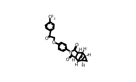 O=C(COc1ccc(N2C(=O)[C@@H]3[C@@H]4C=C[C@@H]([C@H]5C[C@@H]45)[C@@H]3C2=O)cc1)c1ccc(C(F)(F)F)cc1